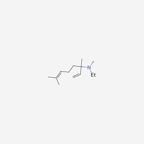 C=CC(C)(CCC=C(C)C)N(C)CC